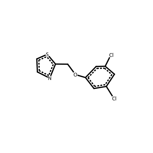 Clc1cc(Cl)cc(OCc2nccs2)c1